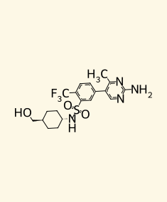 Cc1nc(N)ncc1-c1ccc(C(F)(F)F)c(S(=O)(=O)N[C@H]2CC[C@H](CO)CC2)c1